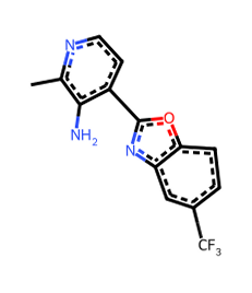 Cc1nccc(-c2nc3cc(C(F)(F)F)ccc3o2)c1N